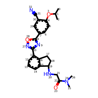 CC(C)Oc1ccc(-c2nc(-c3cccc4c3CCC4NCC(=O)N(C)C)no2)cc1C#N